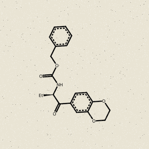 CC[C@@H](NC(=O)OCc1ccccc1)C(=O)c1ccc2c(c1)OCCO2